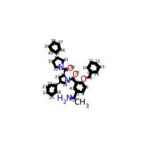 C[C@H](N)c1ccc(OCc2ccccc2)c(C(=O)N2C[C@@H](c3ccccc3)C[C@H]2C(=O)N2CC[C@H](c3ccccc3)C2)c1